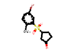 COc1ccc(Br)cc1S(=O)(=O)C1CCC(=O)C1